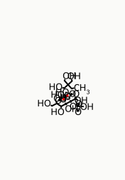 CCC(CO)(CO)CO.O=C(O)C(OS(=O)(=O)O)(C(O)(C(O)C(O)CO)S(=O)(=O)O)S(=O)(=O)O